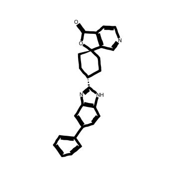 O=C1O[C@]2(CC[C@@H](c3nc4cc(-c5ccccc5)ccc4[nH]3)CC2)c2cnccc21